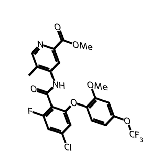 COC(=O)c1cc(NC(=O)c2c(F)cc(Cl)cc2Oc2ccc(OC(F)(F)F)cc2OC)c(C)cn1